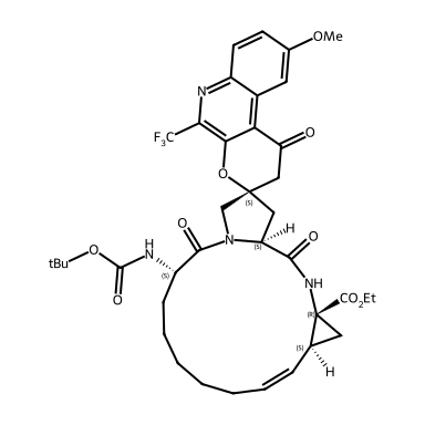 CCOC(=O)[C@@]12C[C@H]1C=CCCCCC[C@H](NC(=O)OC(C)(C)C)C(=O)N1C[C@@]3(CC(=O)c4c(c(C(F)(F)F)nc5ccc(OC)cc45)O3)C[C@H]1C(=O)N2